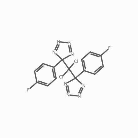 Fc1ccc(C2(C(Cl)(Cl)C3(c4ccc(F)cc4)N=NN=N3)N=NN=N2)cc1